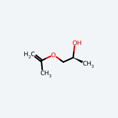 C=C(C)OC[C@H](C)O